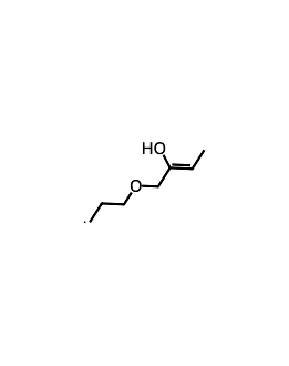 [CH2]CCOCC(O)=CC